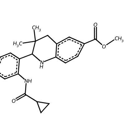 COC(=O)c1ccc2c(c1)CC(C)(C)C(c1ccccc1NC(=O)C1CC1)N2